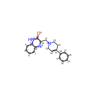 O=c1[nH]c2ccccc2nc1CN1CC=C(c2ccccc2)CC1